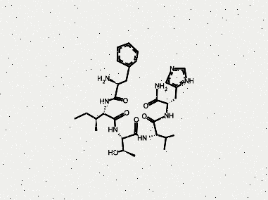 CC[C@H](C)[C@H](NC(=O)[C@@H](N)Cc1ccccc1)C(=O)N[C@H](C(=O)N[C@H](C(=O)N[C@@H](Cc1cnc[nH]1)C(N)=O)C(C)C)[C@@H](C)O